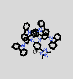 Cc1nc(C)nc(-c2cc(-n3c4cc(-n5c6ccccc6c6ccccc65)ccc4c4ccc(-n5c6ccccc6c6ccccc65)cc43)c(-n3c4cc(-n5c6ccccc6c6ccccc65)ccc4c4ccc(-n5c6ccccc6c6ccccc65)cc43)cc2C#N)n1